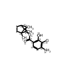 CC1(C)C2CCC1(C)C(OC(=O)c1ccc(N)c(Cl)c1O)C2